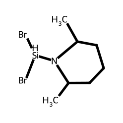 CC1CCCC(C)N1[SiH](Br)Br